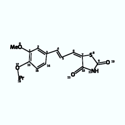 COc1cc(C=CC=C2SC(=O)NC2=O)ccc1OC(C)C